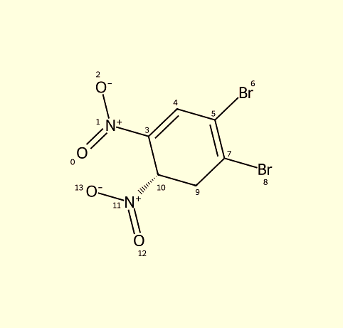 O=[N+]([O-])C1=CC(Br)=C(Br)C[C@@H]1[N+](=O)[O-]